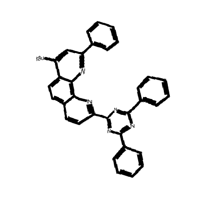 CC(C)(C)c1cc(-c2ccccc2)nc2c1ccc1ccc(-c3nc(-c4ccccc4)nc(-c4ccccc4)n3)nc12